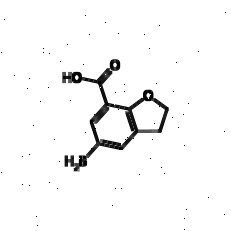 Bc1cc2c(c(C(=O)O)c1)OCC2